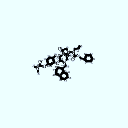 C=CCN(C(=O)NCc1ccccc1)N1CC(=O)N2[C@@H](Cc3ccc(OC(=O)N(C)C)cc3)C(=O)N(Cc3cccc4ccccc34)C[C@@H]21